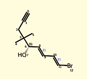 C#CCC(C)(C)[C@@H](O)/C=C/C=C/Br